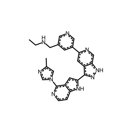 CCNCc1cncc(-c2cc3c(-c4cc5c(-n6cnc(C)c6)nccc5[nH]4)n[nH]c3cn2)c1